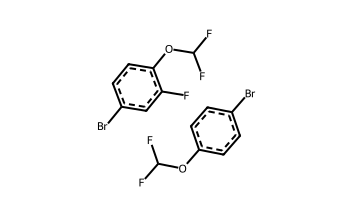 FC(F)Oc1ccc(Br)cc1.Fc1cc(Br)ccc1OC(F)F